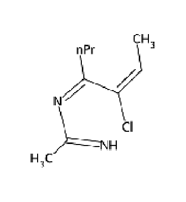 C/C=C(Cl)\C(CCC)=N/C(C)=N